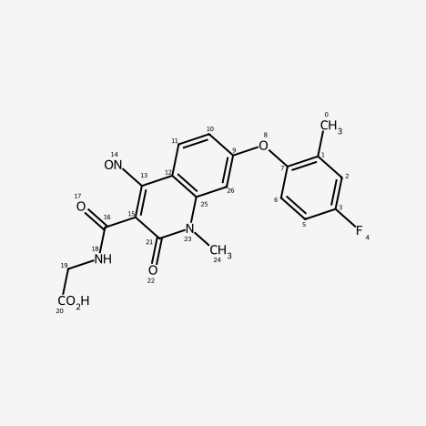 Cc1cc(F)ccc1Oc1ccc2c(N=O)c(C(=O)NCC(=O)O)c(=O)n(C)c2c1